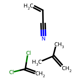 C=C(C)C.C=C(Cl)Cl.C=CC#N